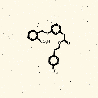 O=C(Cc1cccc(SCc2ccccc2C(=O)O)c1)OCCc1ccc(C(F)(F)F)cc1